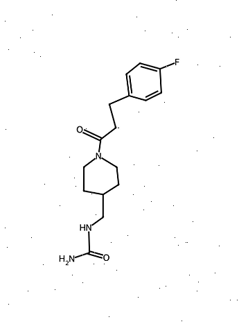 NC(=O)NCC1CCN(C(=O)[CH]Cc2ccc(F)cc2)CC1